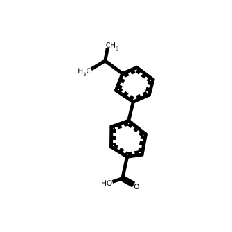 CC(C)c1cccc(-c2ccc(C(=O)O)cc2)c1